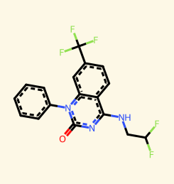 O=c1nc(NCC(F)F)c2ccc(C(F)(F)F)cc2n1-c1ccccc1